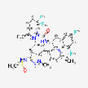 C=Cc1ccc(-c2cccc3c(N[S+](C)[O-])nn(C)c23)c(C(Cc2cc(F)cc(F)c2)NC(=O)n2nc(C(F)(F)F)c3c2C(F)(F)CC3)n1